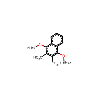 CCCCCCOc1c(C(=O)O)c(C(=O)OCC)c(OCCCCCC)c2ccccc12